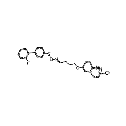 O=c1ccc2cc(OCCCC=NOSc3ccc(-c4ccccc4F)cc3)ccc2[nH]1